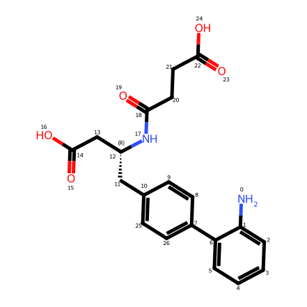 Nc1ccccc1-c1ccc(C[C@H](CC(=O)O)NC(=O)CCC(=O)O)cc1